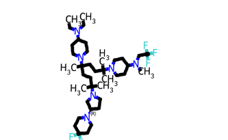 CCN(CC)C1CCN(C(C)(CCC(C)(C)N2CCC(N(C)CC(F)(F)F)CC2)CCC(C)(C)N2CC[C@@H](N3CCC(F)(F)CC3)C2)CC1